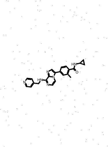 Cc1cc(-c2cnc3c(NCc4ccncc4)nccn23)ccc1C(=O)NC1CC1